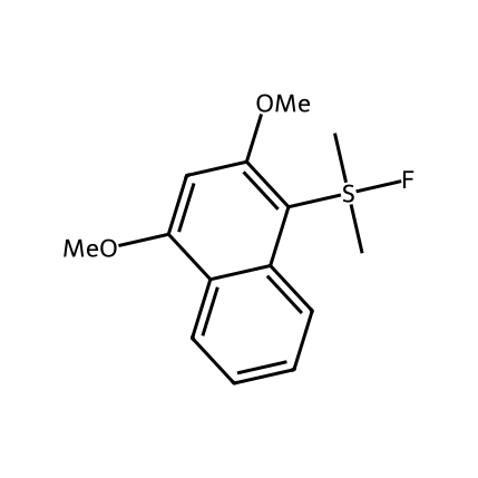 COc1cc(OC)c2ccccc2c1S(C)(C)F